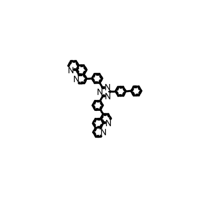 c1ccc(-c2ccc(-c3nc(-c4cccc(-c5ccnc6c5ccc5cccnc56)c4)nc(-c4cccc(-c5ccnc6c5ccc5cccnc56)c4)n3)cc2)cc1